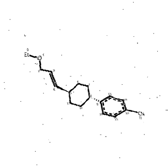 CCOC/C=C/[C@H]1CC[C@H](c2ccc(C#N)cc2)CC1